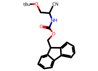 CC(C)(C)OCC(C#N)NC(=O)OCC1c2ccccc2-c2ccccc21